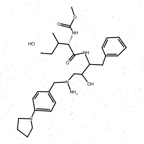 CCC(C)[C@H](NC(=O)OC)C(=O)NC(Cc1ccccc1)C(O)CN(N)Cc1ccc(N2CCCC2)cc1.Cl